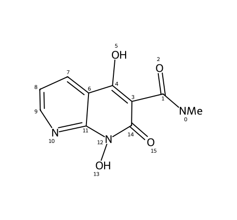 CNC(=O)c1c(O)c2cccnc2n(O)c1=O